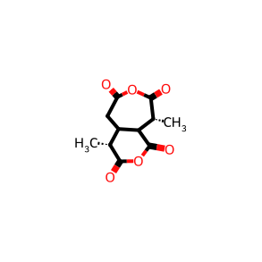 C[C@H]1C(=O)OC(=O)C2C1CC(=O)OC(=O)[C@@H]2C